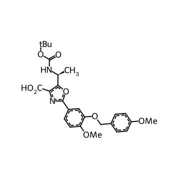 COc1ccc(COc2cc(-c3nc(C(=O)O)c([C@H](C)NC(=O)OC(C)(C)C)o3)ccc2OC)cc1